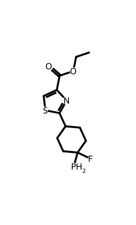 CCOC(=O)c1csc(C2CCC(F)(P)CC2)n1